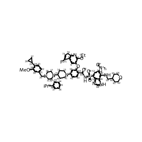 CCOc1nc2c(cc1Oc1cc(N3CCC(N4CCN(Cc5ccc(C6CC6)c(OC)c5)C[C@H]4c4ccccc4C(C)C)CC3)ccc1C(=O)NS(=O)(=O)c1cc([NH+](C)[O-])c(NCC3CCOCC3)c3[nH]cnc13)C(F)=CC2